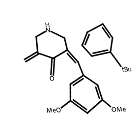 C=C1CNCC(=Cc2cc(OC)cc(OC)c2)C1=O.CC(C)(C)c1ccccc1